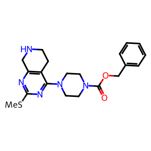 CSc1nc2c(c(N3CCN(C(=O)OCc4ccccc4)CC3)n1)CCNC2